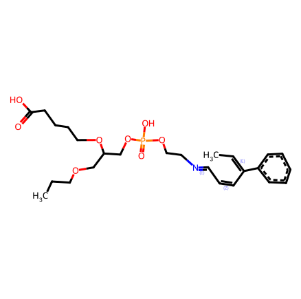 C\C=C(/C=C\C=N\CCOP(=O)(O)OCC(COCCC)OCCCCC(=O)O)c1ccccc1